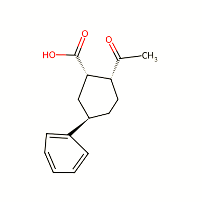 CC(=O)[C@@H]1CC[C@@H](c2ccccc2)C[C@@H]1C(=O)O